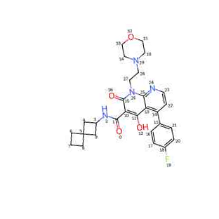 O=C(NC1CC2(CCC2)C1)c1c(O)c2c(-c3ccc(F)cc3)ccnc2n(CCN2CCOCC2)c1=O